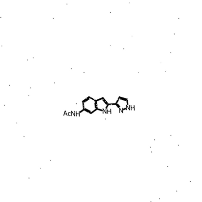 CC(=O)Nc1ccc2cc(-c3cc[nH]n3)[nH]c2c1